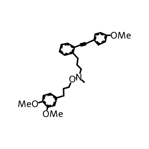 COc1ccc(C#Cc2ccccc2CCCN(C)OCCCc2ccc(OC)c(OC)c2)cc1